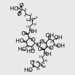 C[N+](C)(CCCS(=O)(=O)O)CCNC(=O)C1O[C@@H](OO[C@@H]2C(C(=O)NCC[N+](C)(C)CC(=O)O)O[C@@H](O)[C@H](O)C2O)[C@H](O)C(O)[C@@H]1O